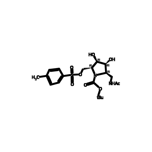 CC(=O)NC[C@@H]1[C@@H](O)[C@H](O)[C@@H](COS(=O)(=O)c2ccc(C)cc2)N1C(=O)OC(C)(C)C